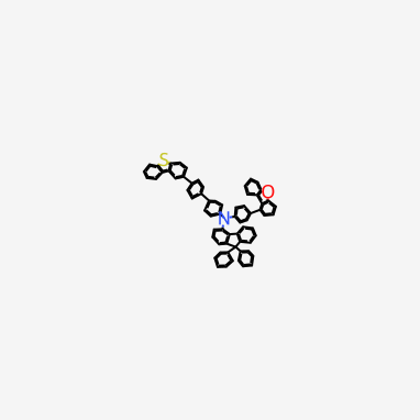 c1ccc(C2(c3ccccc3)c3ccccc3-c3c(N(c4ccc(-c5ccc(-c6ccc7sc8ccccc8c7c6)cc5)cc4)c4ccc(-c5cccc6oc7ccccc7c56)cc4)cccc32)cc1